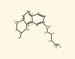 CC1COc2cnc3ccc(OCCCN)cc3c2C1